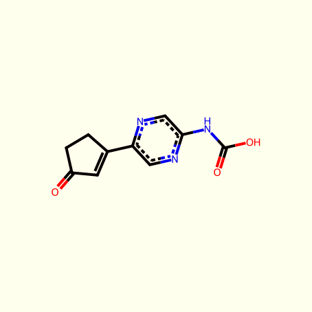 O=C1C=C(c2cnc(NC(=O)O)cn2)CC1